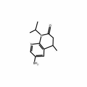 Bc1cnc2c(c1)C(C)CC(=O)N2C(C)C